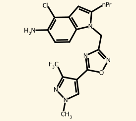 CCCc1cc2c(Cl)c(N)ccc2n1Cc1noc(-c2cn(C)nc2C(F)(F)F)n1